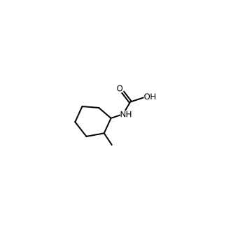 CC1CCCCC1NC(=O)O